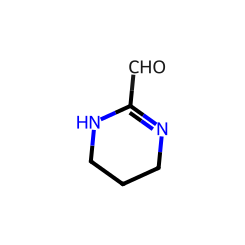 O=CC1=NCCCN1